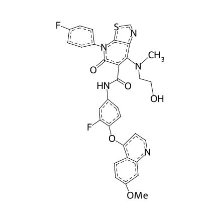 COc1ccc2c(Oc3ccc(NC(=O)c4c(N(C)CCO)c5ncsc5n(-c5ccc(F)cc5)c4=O)cc3F)ccnc2c1